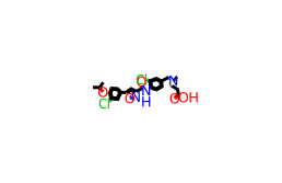 CC(C)Oc1ccc(-c2cc(C(=O)Nc3ccc(CN(C)CCC(=O)O)cc3Cl)no2)cc1Cl